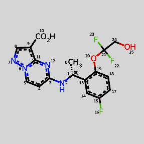 C[C@@H](Nc1ccn2ncc(C(=O)O)c2n1)c1cc(F)ccc1OC(F)(F)CO